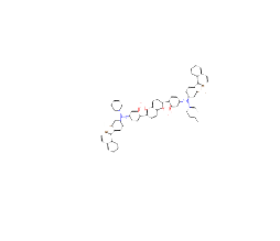 C=C/C=C\C(=C/C)N(c1ccc2c(c1)oc1c2ccc2c1ccc1c3ccc(N(c4ccccc4)c4ccc5c(c4)sc4ccc6ccccc6c45)cc3oc12)c1ccc2c(c1)sc1ccc3ccccc3c12